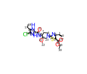 C=Cc1nc(N2CCC(NC(=O)c3nc(Cl)c(CC)[nH]3)C(OC)C2)sc1C(=O)OCC